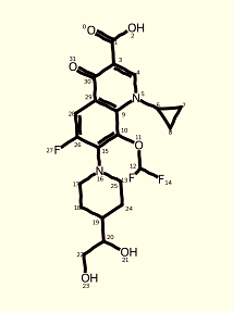 O=C(O)c1cn(C2CC2)c2c(OC(F)F)c(N3CCC(C(O)CO)CC3)c(F)cc2c1=O